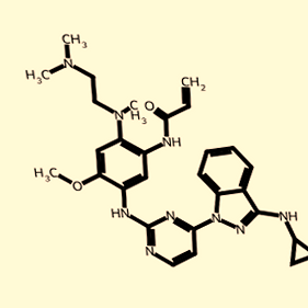 C=CC(=O)Nc1cc(Nc2nccc(-n3nc(NC4CC4)c4ccccc43)n2)c(OC)cc1N(C)CCN(C)C